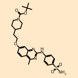 Cc1nc(Nc2ccc(S(N)(=O)=O)cc2)nc2cc(OCCC3CCN(C(=O)OC(C)(C)C)CC3)ccc12